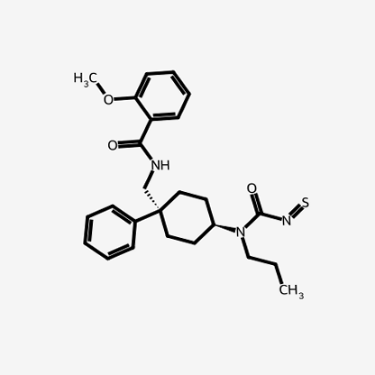 CCCN(C(=O)N=S)[C@H]1CC[C@@](CNC(=O)c2ccccc2OC)(c2ccccc2)CC1